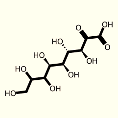 O=C(O)C(=O)[C@@H](O)[C@@H](O)[C@@H](O)[C@H](O)C(O)C(O)CO